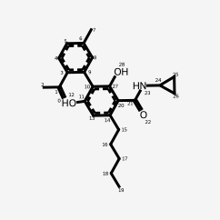 C=C(C)c1ccc(C)cc1-c1c(O)cc(CCCCC)c(C(=O)NC2CC2)c1O